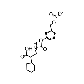 O=C(NCC(C(=O)O)C1CCCCC1)Oc1cccc(CO[N+](=O)[O-])c1